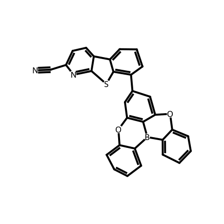 N#Cc1ccc2c(n1)sc1c(-c3cc4c5c(c3)Oc3ccccc3B5c3ccccc3O4)cccc12